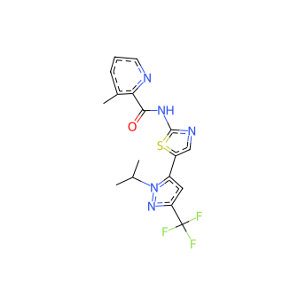 Cc1cccnc1C(=O)Nc1ncc(-c2cc(C(F)(F)F)nn2C(C)C)s1